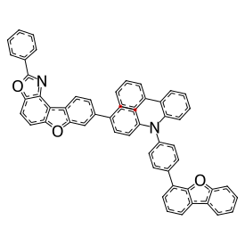 c1ccc(-c2nc3c(ccc4oc5cc(-c6ccc(N(c7ccc(-c8cccc9c8oc8ccccc89)cc7)c7ccccc7-c7ccccc7)cc6)ccc5c43)o2)cc1